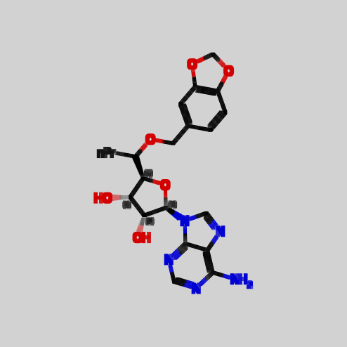 CCCC(OCc1ccc2c(c1)OCO2)[C@H]1O[C@@H](n2cnc3c(N)ncnc32)[C@H](O)[C@@H]1O